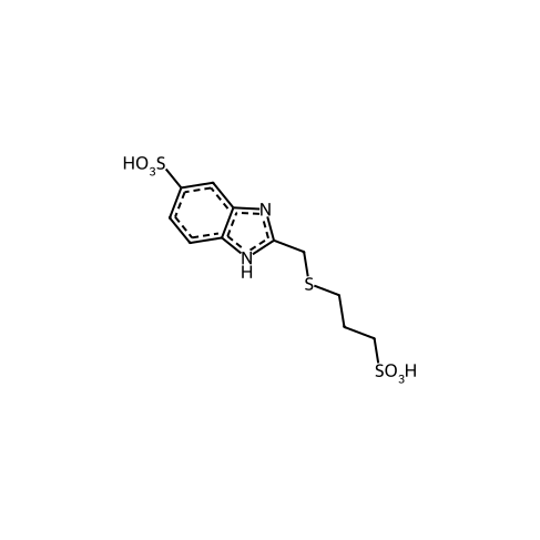 O=S(=O)(O)CCCSCc1nc2cc(S(=O)(=O)O)ccc2[nH]1